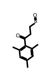 Cc1cc(C)c(C(=O)CCP=O)c(C)c1